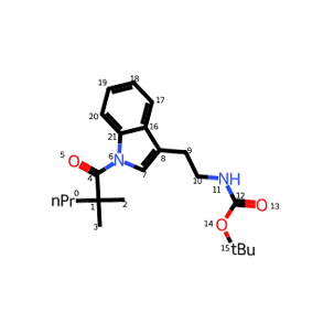 CCCC(C)(C)C(=O)n1cc(CCNC(=O)OC(C)(C)C)c2ccccc21